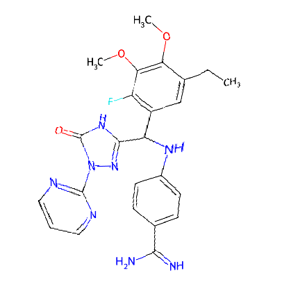 CCc1cc(C(Nc2ccc(C(=N)N)cc2)c2nn(-c3ncccn3)c(=O)[nH]2)c(F)c(OC)c1OC